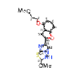 COCCOc1cccc2oc(-c3cn4c(n3)SC(OC)N4)cc12